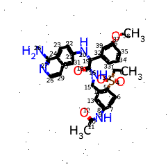 CCS(=O)(=O)c1ccc(NC(C)=O)cc1CNC(=O)C(Nc1ccc2c(N)nccc2c1)c1cccc(OC)c1